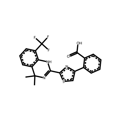 CC1(C)N=C(c2nc(-c3ccccc3C(=O)O)cs2)Nc2c(C(F)(F)F)cccc21